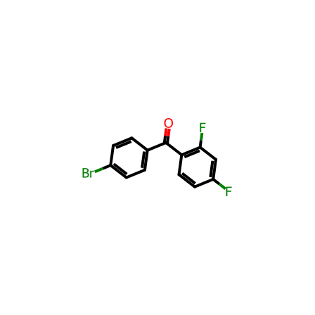 O=C(c1ccc(Br)cc1)c1ccc(F)cc1F